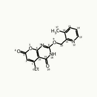 CCc1cc(=O)oc2nc(OCc3ncccc3C)[nH]c(=O)c12